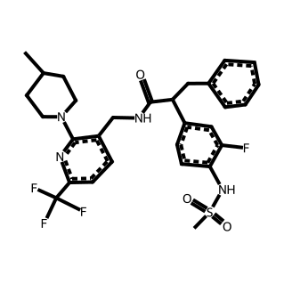 CC1CCN(c2nc(C(F)(F)F)ccc2CNC(=O)C(Cc2ccccc2)c2ccc(NS(C)(=O)=O)c(F)c2)CC1